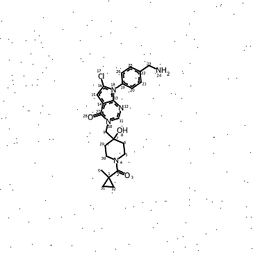 CC1(C(=O)N2CCC(O)(Cn3cnc4c(cc(Cl)n4-c4ccc(CN)cc4)c3=O)CC2)CC1